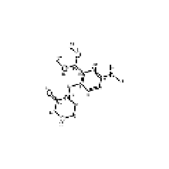 CNc1ccc(CN2CCOCC2=O)c(C(OC)OC)n1